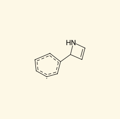 [c]1cccc(C2C=CN2)c1